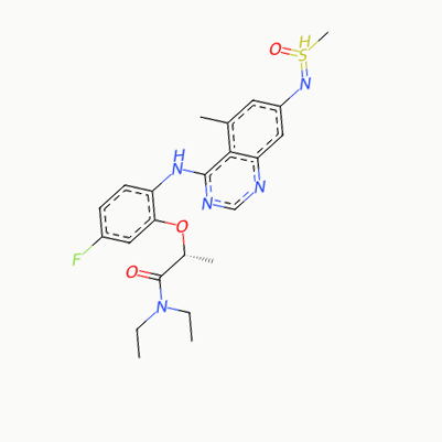 CCN(CC)C(=O)[C@@H](C)Oc1cc(F)ccc1Nc1ncnc2cc(/N=[SH](/C)=O)cc(C)c12